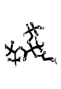 C=CC(=O)OC(OCC(F)(F)S(=O)(=O)O)(C(=O)OC(C(F)(F)F)C(F)(F)F)C(F)(F)F